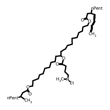 C=C=C=C=CC(CCCCC)CC(=O)OCCCCCCCCCCC(CCCCCCCCCCOC(=O)CC(C)CCCCC)OC(=O)CCCN(C)CC